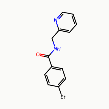 CCc1ccc(C(=O)NCc2ccccn2)cc1